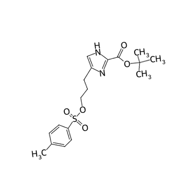 Cc1ccc(S(=O)(=O)OCCCc2c[nH]c(C(=O)OC(C)(C)C)n2)cc1